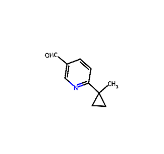 CC1(c2ccc(C=O)cn2)CC1